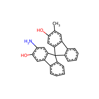 Cc1cc2c(cc1O)C1(c3ccccc3-c3cc(O)c(N)cc31)c1ccccc1-2